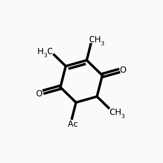 CC(=O)C1C(=O)C(C)=C(C)C(=O)C1C